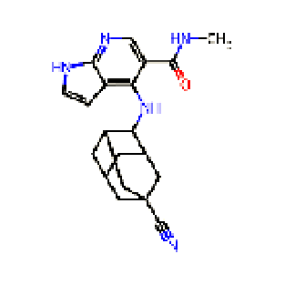 CNC(=O)c1cnc2[nH]ccc2c1NC1C2CC3CC1CC(C#N)(C3)C2